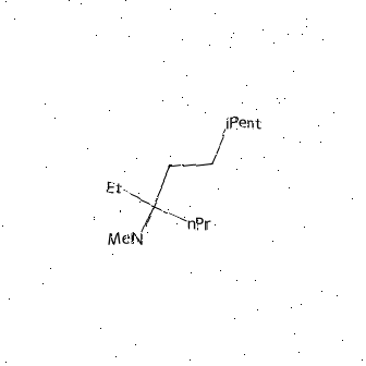 CCCC(C)CCC(CC)(CCC)NC